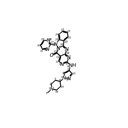 CN1CCC(n2cc(Nc3ncc4c(=O)n5c(nc4n3)c3ccccc3n5-c3ncccn3)cn2)CC1